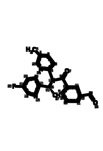 Cc1ccc(N(C(=O)c2cccc(C=O)c2)[C@H](C)c2ccc(F)cn2)nc1